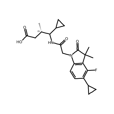 C[C@@H](CC(=O)O)C(NC(=O)CN1C(=O)C(C)(C)c2c1ccc(C1CC1)c2F)C1CC1